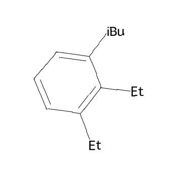 CCc1cccc(C(C)CC)c1CC